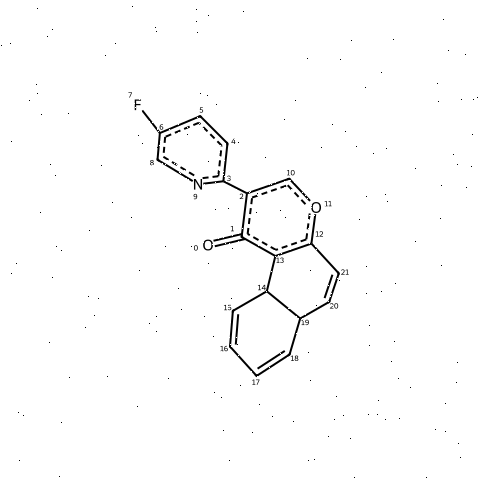 O=c1c(-c2ccc(F)cn2)coc2c1C1C=CC=CC1C=C2